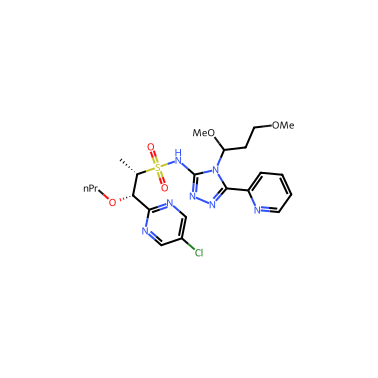 CCCO[C@@H](c1ncc(Cl)cn1)[C@H](C)S(=O)(=O)Nc1nnc(-c2ccccn2)n1C(CCOC)OC